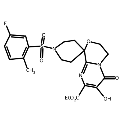 CCOC(=O)c1nc2n(c(=O)c1O)CCOC21CCN(S(=O)(=O)c2cc(F)ccc2C)CC1